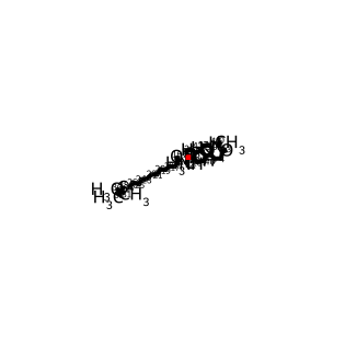 CN1C(=O)CC[C@]2(C)[C@H]3CC[C@]4(C)[C@@H](NC(=O)CCCCCCCCCCCSC(C)(C)C)CC[C@H]4[C@@H]3CC[C@@H]12